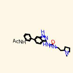 CC(=O)Nc1cccc(-c2ccc3c(NC(=O)NCCC4CCCN4C)n[nH]c3c2)c1